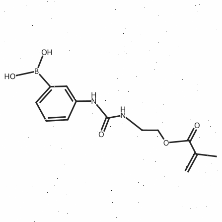 C=C(C)C(=O)OCCNC(=O)Nc1cccc(B(O)O)c1